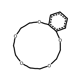 c1ccc2c(c1)OCCOCCOCCOCCO2